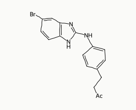 CC(=O)CCc1ccc(Nc2nc3cc(Br)ccc3[nH]2)cc1